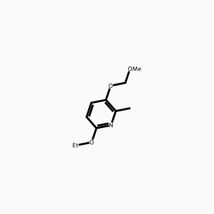 CCOc1ccc(OCOC)c(C)n1